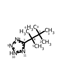 CC(C)(C)C(C)(C)c1nn[nH]n1